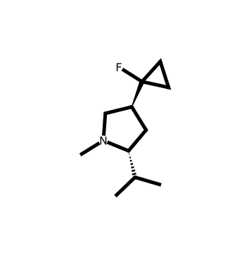 CC(C)[C@H]1C[C@H](C2(F)CC2)CN1C